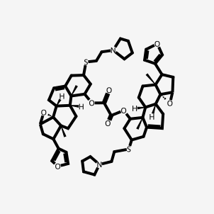 C[C@]12C(=CC[C@@H]3[C@H]1CC[C@]1(C)C(c4ccoc4)CC4O[C@]431)CC(SCCN1CCCC1)CC2OC(=O)C(=O)OC1CC(SCCN2CCCC2)CC2=CC[C@@H]3[C@@H](CC[C@]4(C)C(c5ccoc5)CC5O[C@]534)[C@]21C